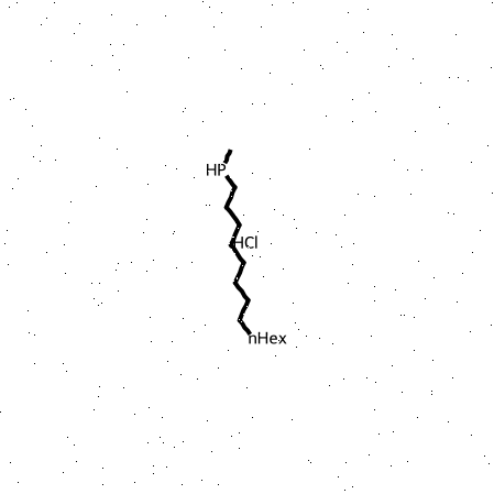 CCCCCCCCCCCCCCPC.Cl